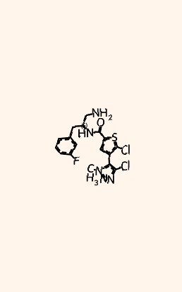 Cn1nnc(Cl)c1-c1cc(C(=O)N[C@H](CN)Cc2cccc(F)c2)sc1Cl